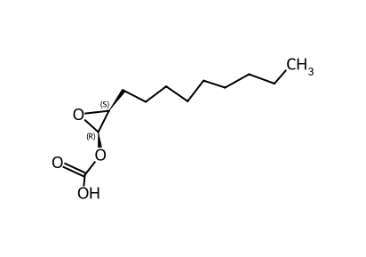 CCCCCCCCC[C@@H]1O[C@@H]1OC(=O)O